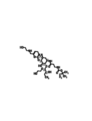 CC[C@@H](O)[C@H](OCCO)O[C@@H]1[C@@H](O)[C@H](O[C@@H]2CCC=C(CNCCO)O2)[C@@H](N)C[C@H]1NC(=O)CCNC(=O)OC(C)(C)C